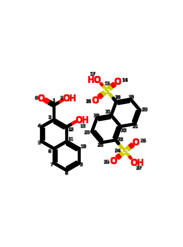 O=C(O)c1ccc2ccccc2c1O.O=S(=O)(O)c1cccc2c(S(=O)(=O)O)cccc12